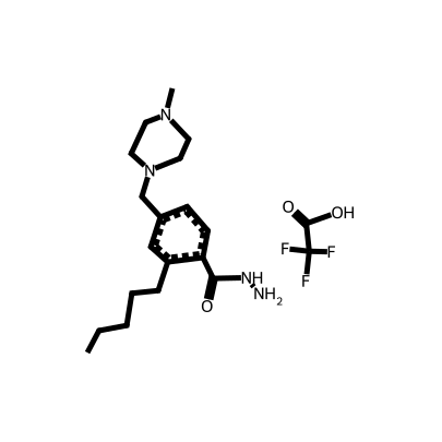 CCCCCc1cc(CN2CCN(C)CC2)ccc1C(=O)NN.O=C(O)C(F)(F)F